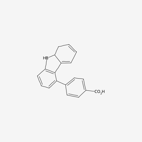 O=C(O)c1ccc(-c2cccc3c2C2=CC=CCC2B3)cc1